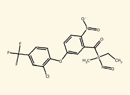 CCS(C)(N=O)C(=O)c1cc(Oc2ccc(C(F)(F)F)cc2Cl)ccc1[N+](=O)[O-]